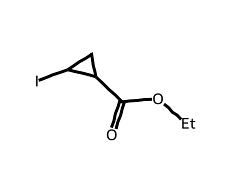 CCOC(=O)C1CC1I